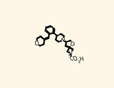 O=C(O)N1CC2(CC(N3CCC(c4ccccc4C=C4CCOCC4)CC3)CO2)C1